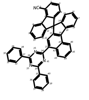 N#Cc1cccc2c1-c1ccccc1C21c2ccccc2-c2c1cc(-c1nc(-c3ccccc3)nc(-c3ccccc3)n1)c1ccccc21